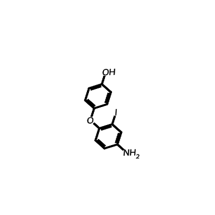 Nc1ccc(Oc2ccc(O)cc2)c(I)c1